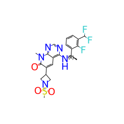 C[C@@H](Nc1ncnc2c1cc(C1CN(S(C)(=O)=O)C1)c(=O)n2C)c1cccc(C(F)F)c1F